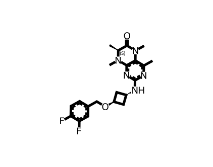 Cc1nc(N[C@H]2C[C@H](OCc3ccc(F)c(F)c3)C2)nc2c1N(C)C(=O)[C@H](C)N2C